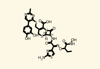 CCC(ON=C(C(=O)N[C@@H]1C(=O)N2C(C(=O)O)=C(CSc3nc(C)ncc3-c3ccc(O)c(O)c3)CS[C@H]12)c1csc(N)n1)C(=O)NO